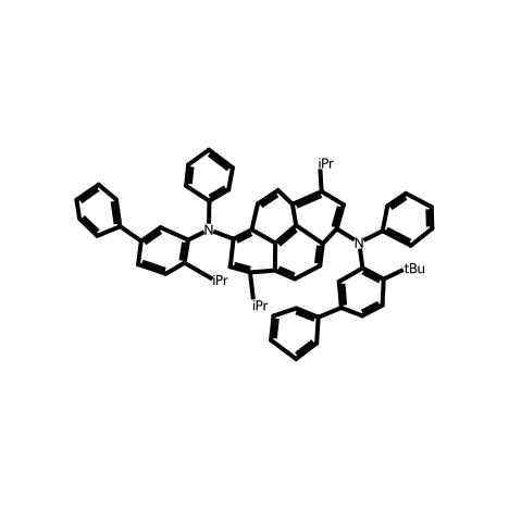 CC(C)c1ccc(-c2ccccc2)cc1N(c1ccccc1)c1cc(C(C)C)c2ccc3c(N(c4ccccc4)c4cc(-c5ccccc5)ccc4C(C)(C)C)cc(C(C)C)c4ccc1c2c43